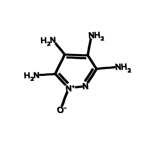 Nc1n[n+]([O-])c(N)c(N)c1N